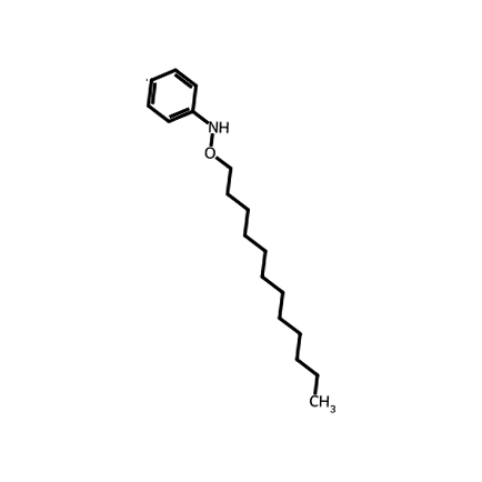 CCCCCCCCCCCCONc1cc[c]cc1